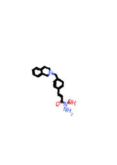 NN(O)C(=O)/C=C/c1ccc(CN2CCc3ccccc3C2)cc1